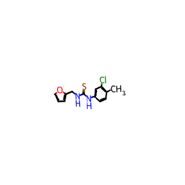 Cc1ccc(NC(=S)NCc2ccco2)cc1Cl